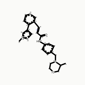 CC1COCCN1Cc1ccc(NC(=O)/C=C/c2cnccc2-c2cnn(C)c2)cc1